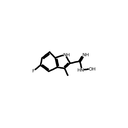 Cc1c(C(=N)NO)[nH]c2ccc(F)cc12